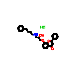 Cl.O=c1cc(-c2ccccc2)oc2c(OCC(O)CNCCCCc3ccccc3)cccc12